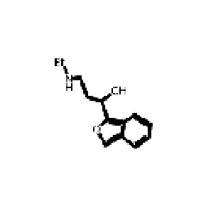 CCNCCC(O)c1occ2ccccc12